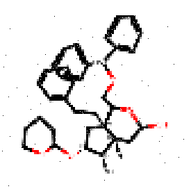 CC(C)(C)[C@@H]1[C@H]2CC(O)OC(CO[SiH](c3ccccc3)c3ccccc3)[C@@]2(CCc2ccccc2)C[C@H]1OC1CCCCO1